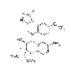 COC(OC)[C@]1(C)Oc2ccc(N)cc2[C@@H](N(Cc2nnn(C)n2)c2ccc(OC(F)(F)F)cc2)[C@@H]1O